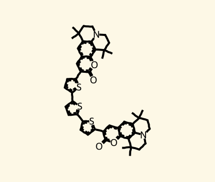 CC1(C)CCN2CCC(C)(C)c3c2c1cc1cc(-c2ccc(-c4ccc(-c5ccc(-c6cc7cc8c9c(c7oc6=O)C(C)(C)CCN9CCC8(C)C)s5)s4)s2)c(=O)oc31